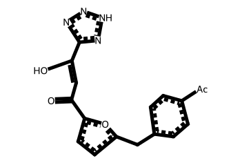 CC(=O)c1ccc(Cc2ccc(C(=O)C=C(O)c3nn[nH]n3)o2)cc1